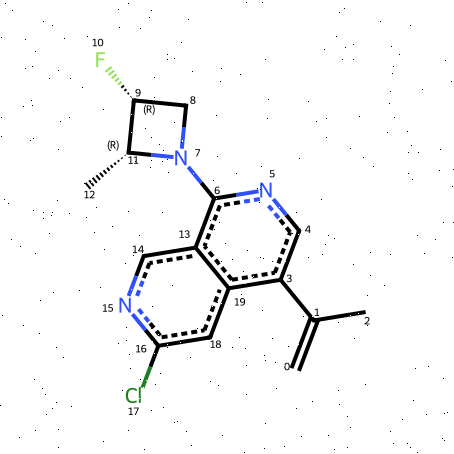 C=C(C)c1cnc(N2C[C@@H](F)[C@H]2C)c2cnc(Cl)cc12